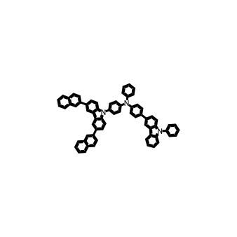 c1ccc(N(c2ccc(-c3ccc4c(c3)c3ccccc3n4-c3ccccc3)cc2)c2ccc(-n3c4ccc(-c5ccc6ccccc6c5)cc4c4cc(-c5ccc6ccccc6c5)ccc43)cc2)cc1